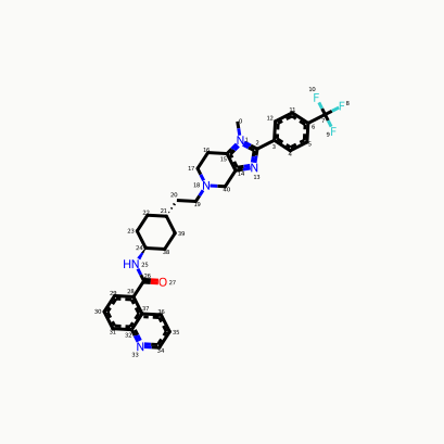 Cn1c(-c2ccc(C(F)(F)F)cc2)nc2c1CCN(CC[C@H]1CC[C@H](NC(=O)c3cccc4ncccc34)CC1)C2